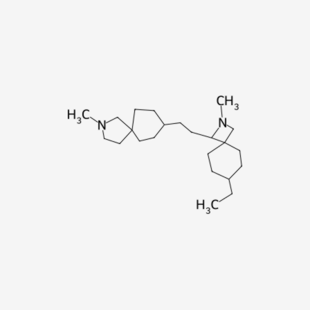 CCC1CCC2(CC1)CN(C)C2CCC1CCC2(CC1)CCN(C)C2